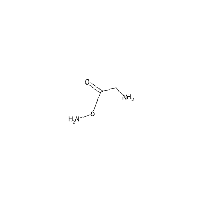 NCC(=O)ON